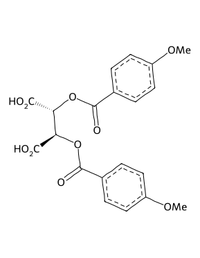 COc1ccc(C(=O)O[C@@H](C(=O)O)[C@@H](OC(=O)c2ccc(OC)cc2)C(=O)O)cc1